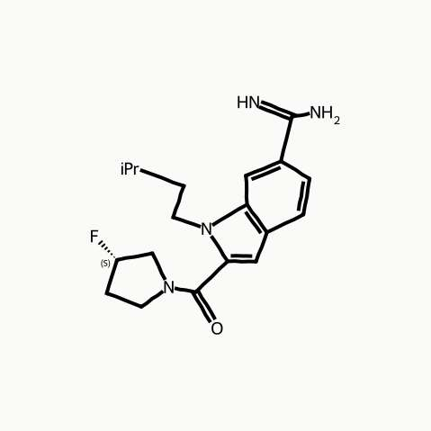 CC(C)CCn1c(C(=O)N2CC[C@H](F)C2)cc2ccc(C(=N)N)cc21